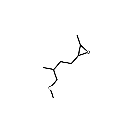 COCC(C)CCC1OC1C